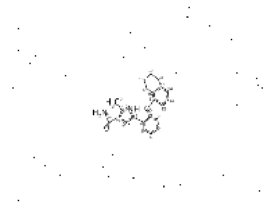 Cc1[nH]c(-c2ccccc2Oc2cccc3c2CCCC3)cc1C(N)=O